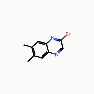 Cc1cc2ncc(Br)nc2cc1C